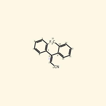 N#C/C=C(/c1ccccc1)c1ccccc1C(F)(F)F